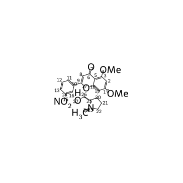 COc1cc(OC)c2c(=O)cc(-c3cccc([N+](=O)[O-])c3)oc2c1[C@@H]1CCN(C)[C@H]1CO